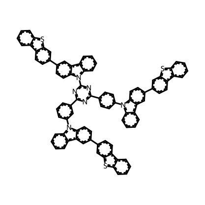 c1cc(-c2nc(-c3ccc(-n4c5ccccc5c5cc(-c6ccc7c(c6)sc6ccccc67)ccc54)cc3)nc(-n3c4ccccc4c4cc(-c5ccc6c(c5)sc5ccccc56)ccc43)n2)cc(-n2c3ccccc3c3cc(-c4ccc5c(c4)sc4ccccc45)ccc32)c1